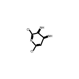 N=C1C=C(Cl)N=C(Cl)C1=N